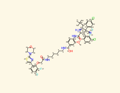 COc1cc(C(O)NCCCCCCNC(=O)COc2c(-c3csc(N4CCOCC4)n3)ccc(F)c2F)ccc1NC(=O)C[C@H](c1cccc(Cl)c1F)C(C#N)(c1ccc(Cl)cc1F)[C@@H](N)CC(C)(C)C